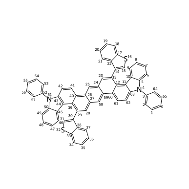 c1ccc(-n2c3ccccc3c3c4c(-c5csc6ccccc56)cc5cc6c(cc(-c7csc8ccccc78)c7c6ccc6c7c7ccccc7n6-c6ccccc6)cc5c4ccc32)cc1